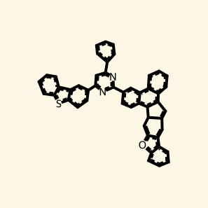 C1=C2C=c3c(oc4ccccc34)=CC2c2c1c1ccccc1c1cc(-c3nc(-c4ccccc4)cc(-c4ccc5sc6ccccc6c5c4)n3)ccc21